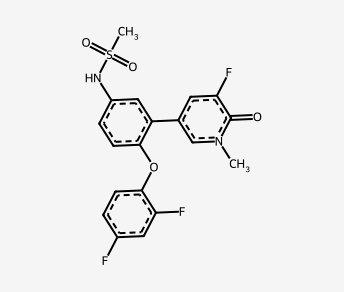 Cn1cc(-c2cc(NS(C)(=O)=O)ccc2Oc2ccc(F)cc2F)cc(F)c1=O